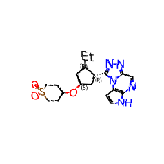 CC[C@@H]1C[C@H](OC2CCS(=O)(=O)CC2)C[C@H]1c1nnc2cnc3[nH]ccc3n12